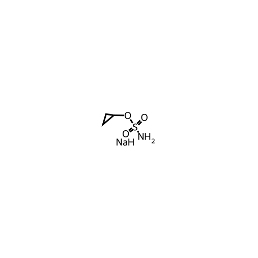 NS(=O)(=O)OC1CC1.[NaH]